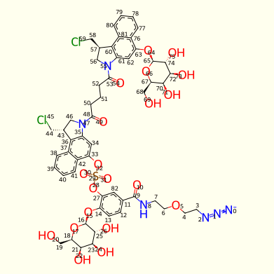 [N-]=[N+]=NCCOCCNC(=O)c1ccc(O[C@@H]2O[C@H](CO)[C@H](O)[C@H](O)[C@H]2O)c(OS(=O)(=O)Oc2cc3c(c4ccccc24)[C@H](CCl)CN3C(=O)CCCC(=O)N2C[C@@H](CCl)c3c2cc(O[C@@H]2O[C@H](CO)[C@H](O)[C@H](O)[C@H]2O)c2ccccc32)c1